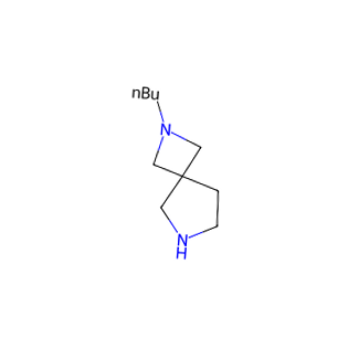 CCCCN1CC2(CCNC2)C1